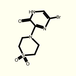 O=c1[nH]cc(Br)nc1N1CCS(=O)(=O)CC1